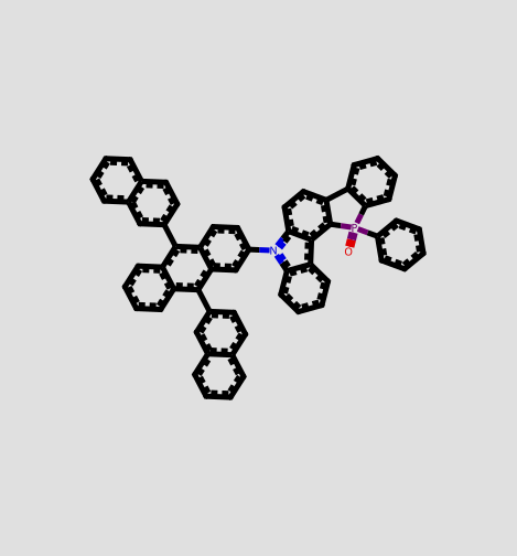 O=P1(c2ccccc2)c2ccccc2-c2ccc3c(c21)c1ccccc1n3-c1ccc2c(-c3ccc4ccccc4c3)c3ccccc3c(-c3ccc4ccccc4c3)c2c1